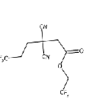 N#CC(C#N)(CCC(F)(F)F)CC(=O)OCC(F)(F)F